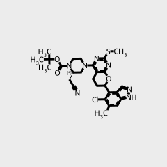 CSc1nc2c(c(N3CCN(C(=O)OC(C)(C)C)[C@@H](CC#N)C3)n1)CCC(c1c(Cl)c(C)cc3[nH]ncc13)O2